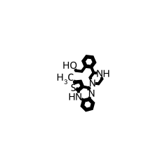 Cc1cc2c(s1)Nc1ccccc1N=C2N1CCNC(c2ccccc2CCO)C1